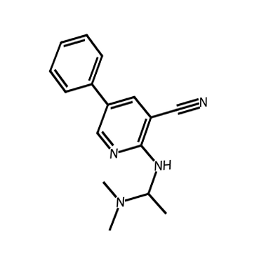 CC(Nc1ncc(-c2ccccc2)cc1C#N)N(C)C